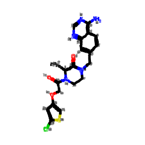 CCCC1C(=O)N(Cc2ccc3c(N)ncnc3c2)CCN1C(=O)COc1csc(Cl)c1